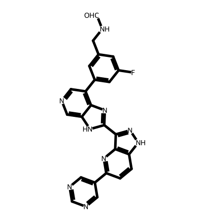 O=CNCc1cc(F)cc(-c2cncc3[nH]c(-c4n[nH]c5ccc(-c6cncnc6)nc45)nc23)c1